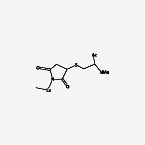 CNC(CSC1CC(=O)[N]([Lu][CH3])C1=O)C(C)=O